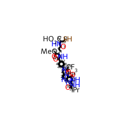 COC(=O)[C@H](CCC(=O)N[C@H](CS)C(=O)O)NC(=O)c1ccc(N(Cc2cnc3nc(NC(=O)C(C)C)[nH]c(=O)c3n2)C(=O)C(F)(F)F)cc1